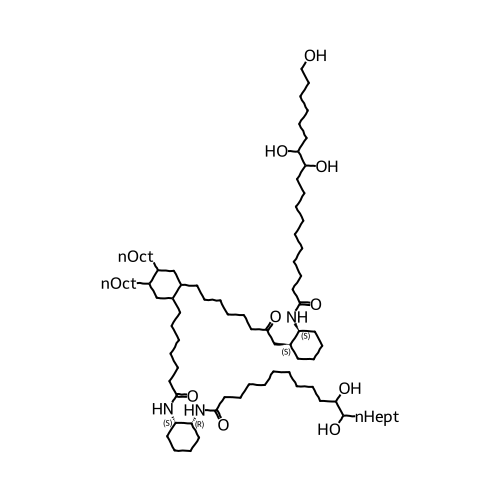 CCCCCCCCC1CC(CCCCCCC(=O)C[C@@H]2CCCC[C@@H]2NC(=O)CCCCCCCCCC(O)C(O)CCCCCCO)C(CCCCCCC(=O)N[C@H]2CCCC[C@H]2NC(=O)CCCCCCCCCC(O)C(O)CCCCCCC)CC1CCCCCCCC